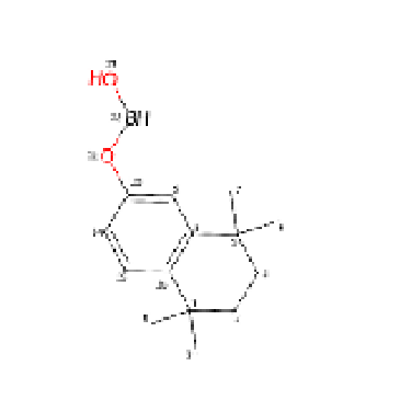 CC1(C)CCC(C)(C)c2cc(OBO)ccc21